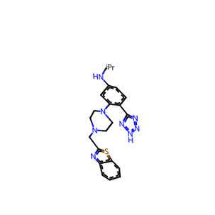 CC(C)Nc1ccc(-c2nn[nH]n2)c(N2CCN(Cc3nc4ccccc4s3)CC2)c1